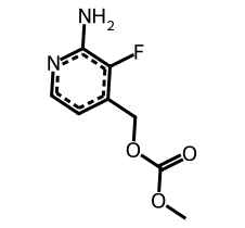 COC(=O)OCc1ccnc(N)c1F